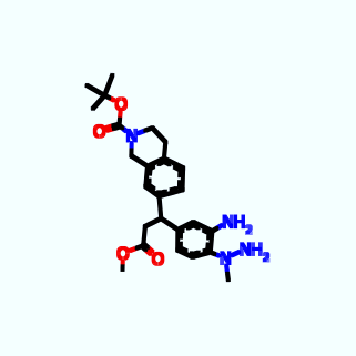 COC(=O)CC(c1ccc(N(C)N)c(N)c1)c1ccc2c(c1)CN(C(=O)OC(C)(C)C)CC2